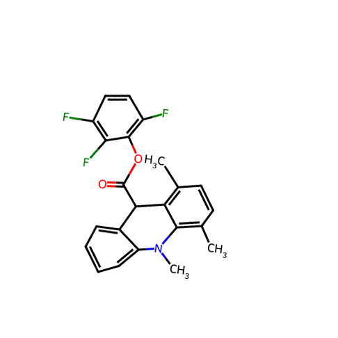 Cc1ccc(C)c2c1C(C(=O)Oc1c(F)ccc(F)c1F)c1ccccc1N2C